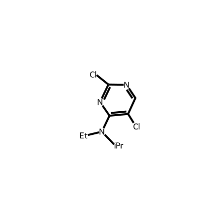 CCN(c1nc(Cl)ncc1Cl)C(C)C